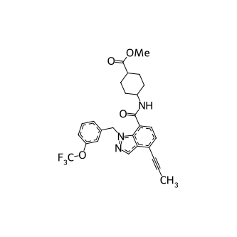 CC#Cc1ccc(C(=O)NC2CCC(C(=O)OC)CC2)c2c1cnn2Cc1cccc(OC(F)(F)F)c1